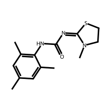 Cc1cc(C)c(NC(=O)N=C2SCCN2C)c(C)c1